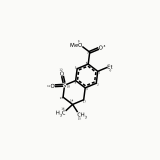 CCc1cc2c(cc1C(=O)OC)S(=O)(=O)CC(C)(C)C2